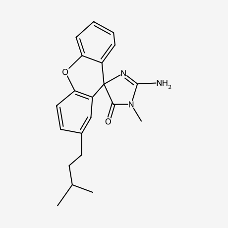 CC(C)CCc1ccc2c(c1)C1(N=C(N)N(C)C1=O)c1ccccc1O2